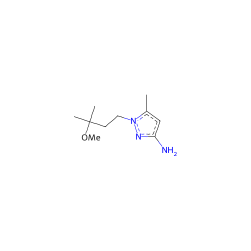 COC(C)(C)CCn1nc(N)cc1C